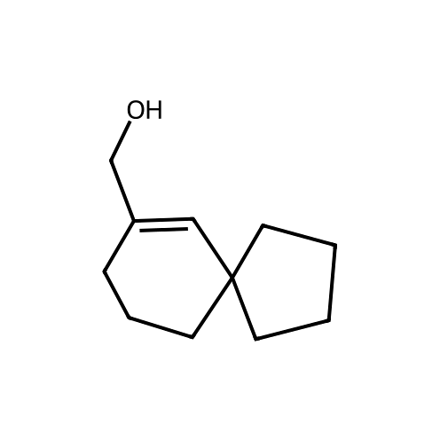 OCC1=CC2(CCCC2)CCC1